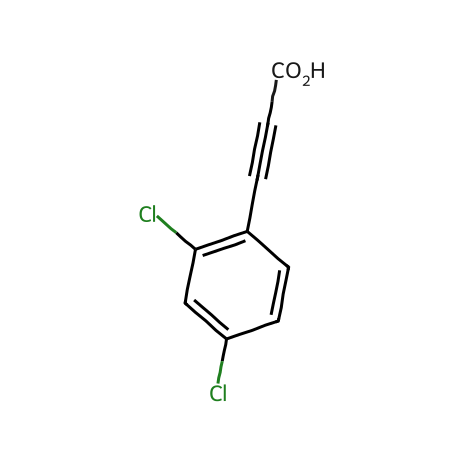 O=C(O)C#Cc1ccc(Cl)cc1Cl